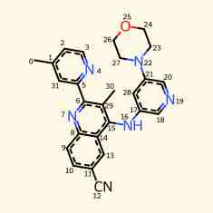 Cc1ccnc(-c2nc3ccc(C#N)cc3c(Nc3cncc(N4CCOCC4)c3)c2C)c1